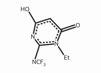 CCn1c(NC(F)(F)F)nc(O)cc1=O